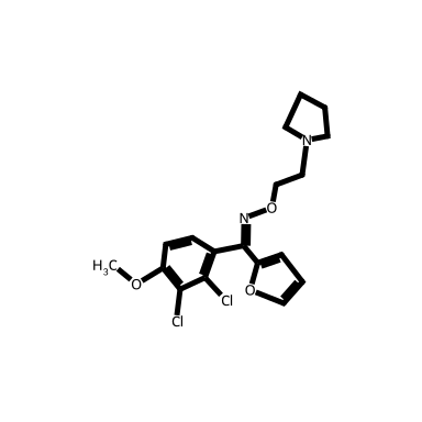 COc1ccc(C(=NOCCN2CCCC2)c2ccco2)c(Cl)c1Cl